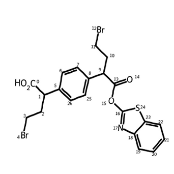 O=C(O)C(CCBr)c1ccc(C(CCBr)C(=O)Oc2nc3ccccc3s2)cc1